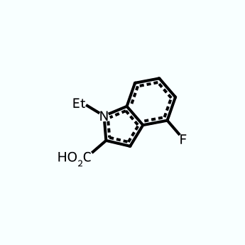 CCn1c(C(=O)O)cc2c(F)cccc21